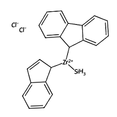 [Cl-].[Cl-].[SiH3][Zr+2]([CH]1C=Cc2ccccc21)[CH]1c2ccccc2-c2ccccc21